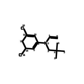 C=CN(CC(C)(C)C)C1=CC(Cl)CC(Cl)=C1